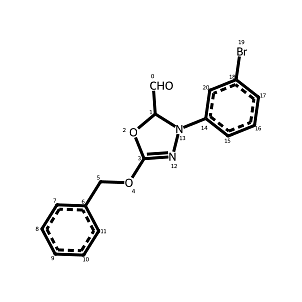 O=CC1OC(OCc2ccccc2)=NN1c1cccc(Br)c1